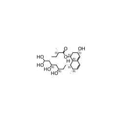 CC[C@H](C)C(=O)O[C@H]1C[C@H](O)C=C2C=C[C@H](C)[C@H](CC[C@@H](O)C[C@@H](O)CC(O)O)[C@H]21